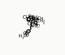 CC(C)(C)C[C@@H]1CN[C@H](c2cccc(Cl)c2F)[C@]12C(=O)N(C(=O)NCCC1CCN(S(C)(=O)=O)CC1)c1cc(Cl)ccc12